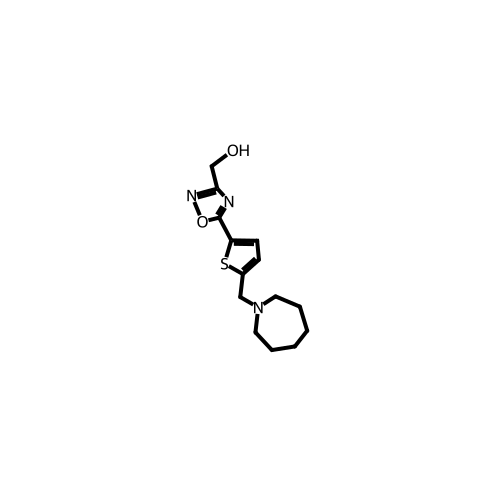 OCc1noc(-c2ccc(CN3CCCCCC3)s2)n1